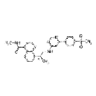 CNC(=O)c1ccnc2c([C@H](C)CNc3cc(-c4ccc(S(C)(=O)=O)cc4)ncn3)cccc12